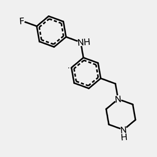 Fc1ccc(Nc2[c]ccc(CN3CCNCC3)c2)cc1